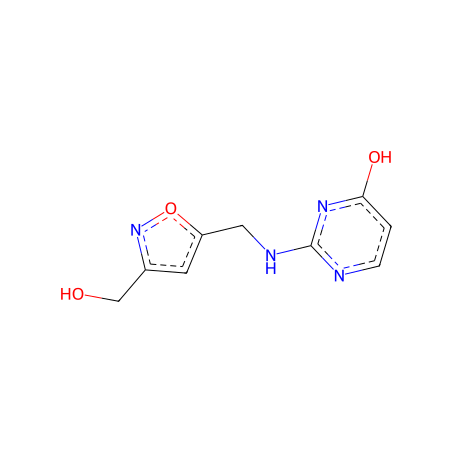 OCc1cc(CNc2nccc(O)n2)on1